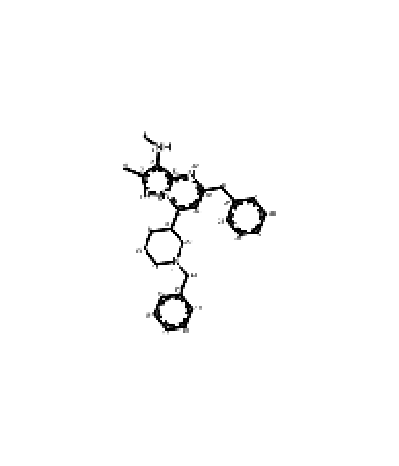 CNc1c(C)nn2c(C3CCCN(Cc4ccccc4)C3)cc(Cc3ccccc3)nc12